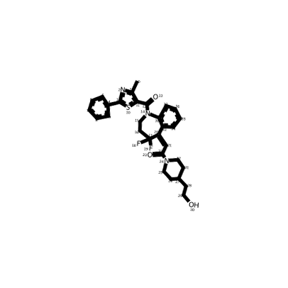 Cc1nc(-c2ccccc2)sc1C(=O)N1CCC(F)(F)C(=CC(=O)N2CCC(CCO)CC2)c2ccccc21